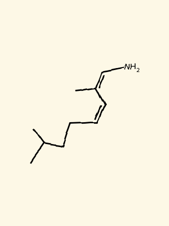 CC(/C=C\CCC(C)C)=C/N